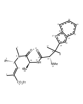 CCOC(=O)/C(C)=C/[C@H](C(C)C)N(C)C(=O)[C@@H](NC(=O)[C@@H](NC)C(C)(C)c1cc2ccccc2s1)C(C)(C)C